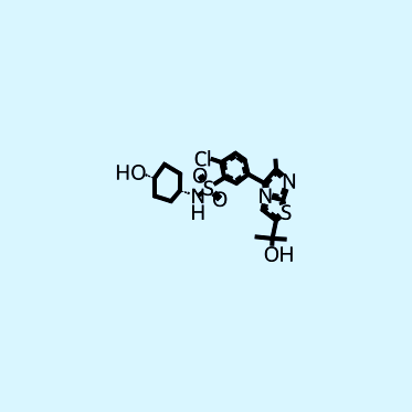 Cc1nc2sc(C(C)(C)O)cn2c1-c1ccc(Cl)c(S(=O)(=O)N[C@H]2CC[C@@H](O)CC2)c1